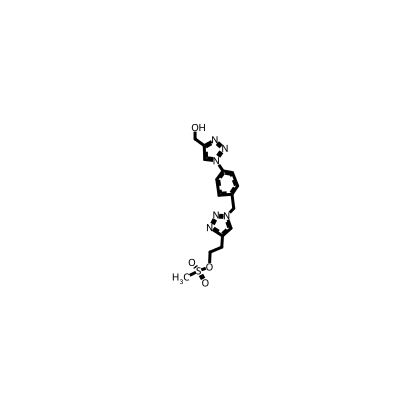 CS(=O)(=O)OCCc1cn(Cc2ccc(-n3cc(CO)nn3)cc2)nn1